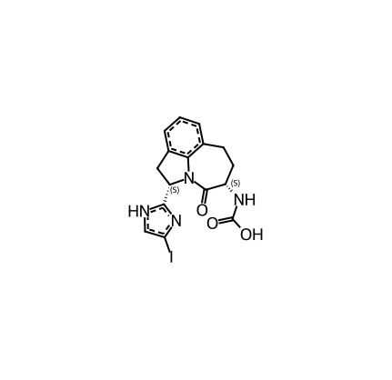 O=C(O)N[C@H]1CCc2cccc3c2N(C1=O)[C@H](c1nc(I)c[nH]1)C3